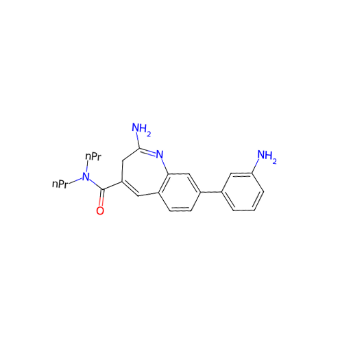 CCCN(CCC)C(=O)C1=Cc2ccc(-c3cccc(N)c3)cc2N=C(N)C1